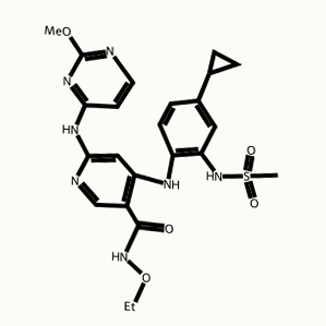 CCONC(=O)c1cnc(Nc2ccnc(OC)n2)cc1Nc1ccc(C2CC2)cc1NS(C)(=O)=O